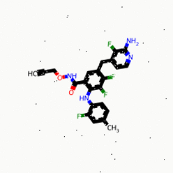 C#CCONC(=O)c1cc(Cc2ccnc(N)c2F)c(F)c(F)c1Nc1ccc(C)cc1F